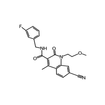 COCCn1c(=O)c(C(=O)NCc2cccc(F)c2)c(C)c2ccc(C#N)cc21